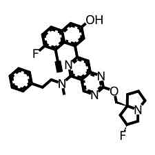 C#Cc1c(F)ccc2cc(O)cc(-c3cc4nc(OC[C@@]56CCCN5C[C@H](F)C6)ncc4c(N(C)CCc4ccccc4)n3)c12